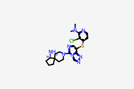 CN(C)c1nccc(Sc2cnc(N3CCC4(CCC[C@H]4N)CC3)n3cnnc23)c1Cl